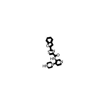 O=C(Nc1cnccc1N1CCNCC1)c1csc(-c2cc3ccccc3o2)n1